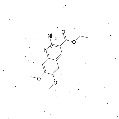 CCOC(=O)c1cc2cc(OC)c(OC)cc2nc1N